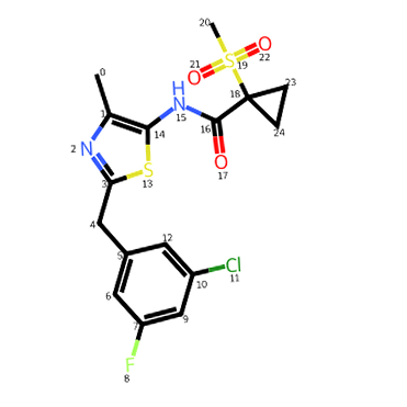 Cc1nc(Cc2cc(F)cc(Cl)c2)sc1NC(=O)C1(S(C)(=O)=O)CC1